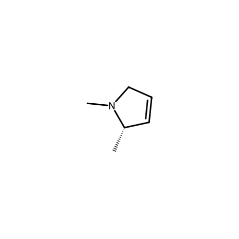 C[C@H]1C=CCN1C